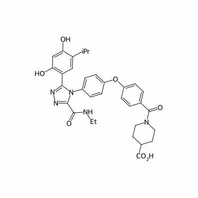 CCNC(=O)c1nnc(-c2cc(C(C)C)c(O)cc2O)n1-c1ccc(Oc2ccc(C(=O)N3CCC(C(=O)O)CC3)cc2)cc1